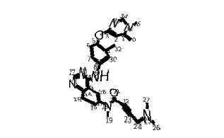 C=C1C=C(Oc2ccc(Nc3ncnc4ccc(N(C)C(=O)C#CCN(C)C)cc34)cc2C)N=CN1C